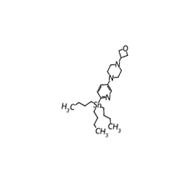 CCC[CH2][Sn]([CH2]CCC)([CH2]CCC)[c]1ccc(N2CCN(C3COC3)CC2)cn1